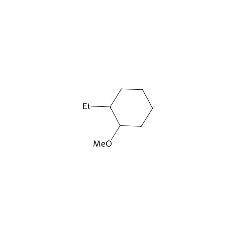 CC[C]1CCCCC1OC